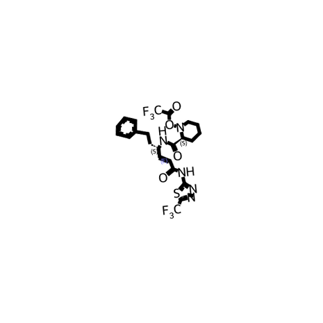 O=C(/C=C/[C@H](CCc1ccccc1)NC(=O)[C@@H]1CCCCN1OC(=O)C(F)(F)F)Nc1nnc(C(F)(F)F)s1